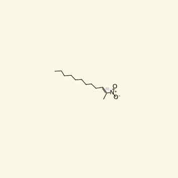 CCCCCCCCC/C=C(\C)[N+](=O)[O-]